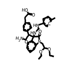 CCOC(CN1C(=O)C(NC(=O)Nc2ccc(C)cc2)(C(C(N)=O)c2ccc(CC(=O)O)cc2)c2ccccc21)OCC